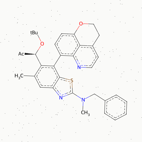 CC(=O)[C@@H](OC(C)(C)C)c1c(C)cc2nc(N(C)Cc3ccccc3)sc2c1-c1ccc2c3c(ccnc13)CCO2